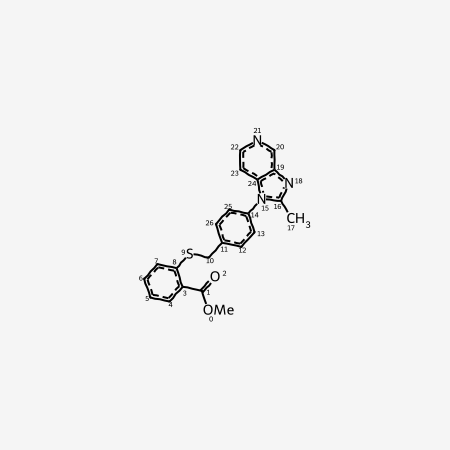 COC(=O)c1ccccc1SCc1ccc(-n2c(C)nc3cnccc32)cc1